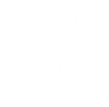 c1ccc(C2(c3ccc4c(c3)c3ccccc3n4-c3ccc4c(c3)c3ccccc3n4-c3ccc4oc5ncccc5c4c3)c3ccccc3-c3ccccc32)cc1